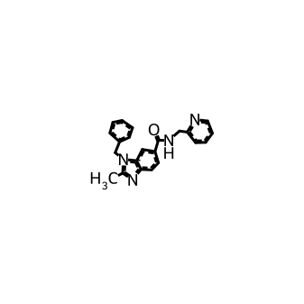 Cc1nc2ccc(C(=O)NCc3ccccn3)cc2n1Cc1ccccc1